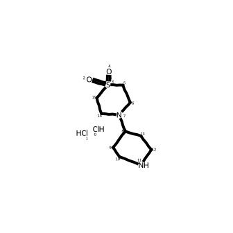 Cl.Cl.O=S1(=O)CCN(C2CCNCC2)CC1